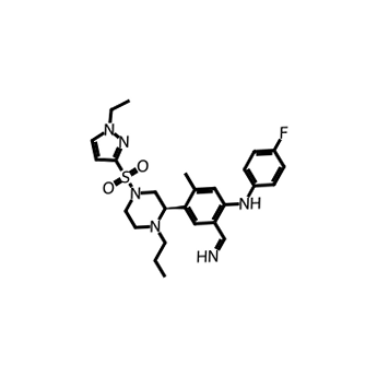 CCCN1CCN(S(=O)(=O)c2ccn(CC)n2)C[C@H]1c1cc(C=N)c(Nc2ccc(F)cc2)cc1C